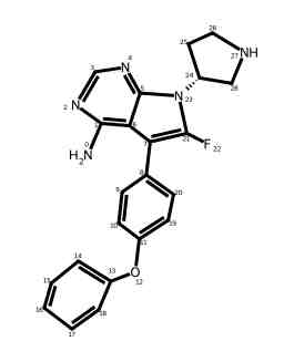 Nc1ncnc2c1c(-c1ccc(Oc3ccccc3)cc1)c(F)n2[C@@H]1CCNC1